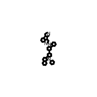 c1ccc(-n2c3ccc(-c4ccc5c(c4)c4ccccc4n5-c4cc5c6c(cccc6n4)-c4ccncc4-5)cc3c3ccc4ccccc4c32)cc1